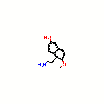 COc1ccc2cc(O)ccc2c1CCN